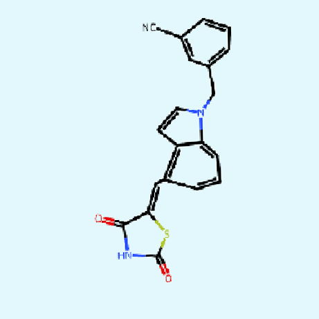 N#Cc1cccc(Cn2ccc3c(C=C4SC(=O)NC4=O)cccc32)c1